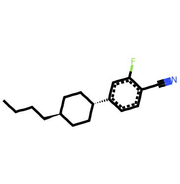 CCCC[C@H]1CC[C@H](c2ccc(C#N)c(F)c2)CC1